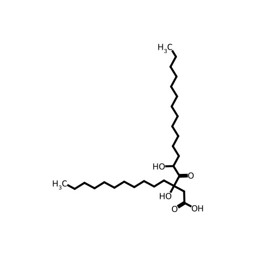 CCCCCCCCCCCCC(O)C(=O)C(O)(CCCCCCCCCCC)CC(=O)O